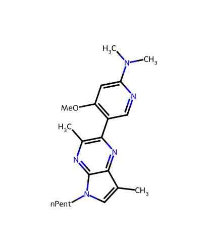 CCCCCn1cc(C)c2nc(-c3cnc(N(C)C)cc3OC)c(C)nc21